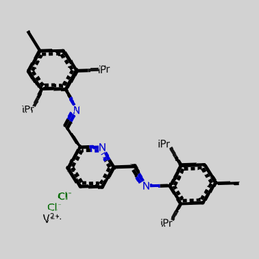 Cc1cc(C(C)C)c(N=Cc2cccc(C=Nc3c(C(C)C)cc(C)cc3C(C)C)n2)c(C(C)C)c1.[Cl-].[Cl-].[V+2]